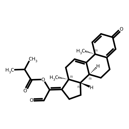 CC(C)C(=O)OC(C=O)=C1CC[C@H]2[C@@H]3CCC4=CC(=O)C=C[C@]4(C)C3=CC[C@]12C